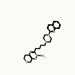 NN1OC2=C(CCOC2)N=C1CCCCN1CCN(c2ccc3ccccc3n2)CC1